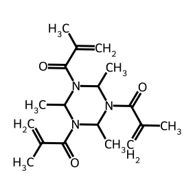 C=C(C)C(=O)N1C(C)N(C(=O)C(=C)C)C(C)N(C(=O)C(=C)C)C1C